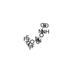 CC(Oc1ccc(-c2nc(-c3ccc4[nH]c(CCS(C)(=O)=O)nc4c3)no2)cc1C(F)(F)F)C(F)(F)F